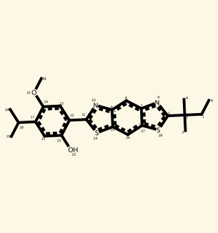 CCC(C)(C)c1nc2cc3nc(-c4cc(OC)c(C(C)C)cc4O)sc3cc2s1